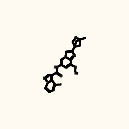 CC(C)Oc1nc(NC(=O)c2cnn3cccc(F)c23)cn2cc(C34COC(C)(C3)C4)nc12